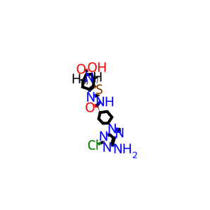 Nc1nc(Cl)nc2c1ncn2[C@H]1CC[C@@H](C(=O)Nc2nc3c(s2)[C@H]2CC[C@@H](C3)N2C(=O)O)CC1